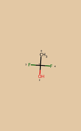 CC(O)(F)F